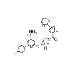 Cc1nn(-c2ncccn2)cc1C(=O)N1C[C@H]2[C@H](Oc3cc(C(C)(C)N)cc(-c4ccc(F)cc4)n3)[C@@]2(C)C1